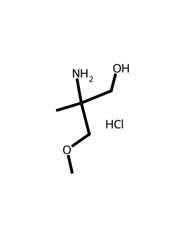 COCC(C)(N)CO.Cl